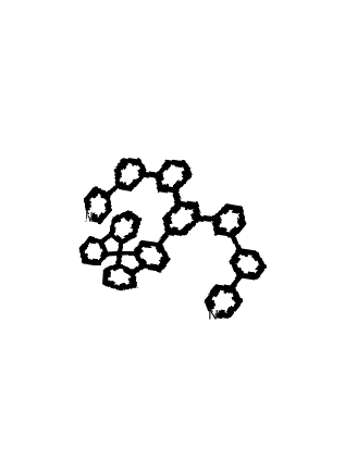 c1cc(-c2ccncc2)cc(-c2cccc(-c3cc(-c4cccc(-c5cccc(-c6ccncc6)c5)c4)cc(-c4ccc5c(c4)C4(c6ccccc6-c6ccccc64)c4ccccc4-5)c3)c2)c1